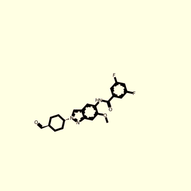 COc1cc2nn([C@H]3CC[C@H](C=O)CC3)cc2cc1NC(=O)c1cc(F)cc(F)c1